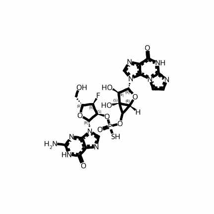 Nc1nc2c(ncn2[C@@H]2O[C@H](CO)[C@@H](F)[C@H]2OP(=O)(S)OC2[C@H]3O[C@@H](n4cnc5c(=O)[nH]c6nccn6c54)[C@H](O)[C@@]23O)c(=O)[nH]1